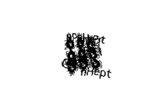 CCCCCC1CCC(C2CCC3(CC2)C(=O)[C@]2(CC[C@H](C)CC2)C3(Cl)Cl)CC1.CCCCCCCC1CCC(C2CCC3(CC2)C(=O)[C@]2(CC[C@H](CCCCCCC)CC2)C3(Cl)Cl)CC1.CCC[C@H]1CC[C@@]2(CC1)C(=O)[C@]1(CC[C@H]([C@H]3CC[C@H](C)CC3)CC1)C2(Cl)Cl